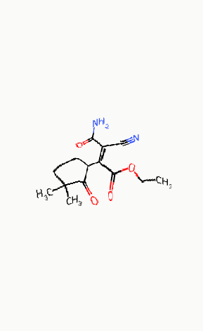 CCOC(=O)/C(=C(\C#N)C(N)=O)C1CCC(C)(C)C1=O